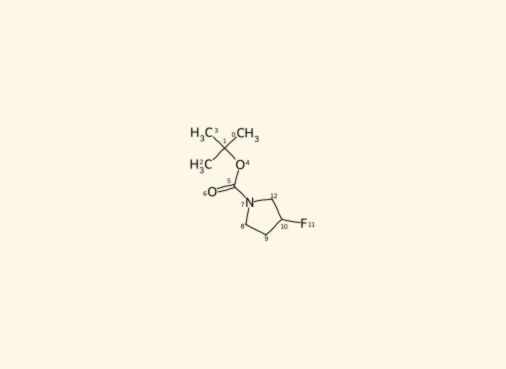 CC(C)(C)OC(=O)N1CCC(F)C1